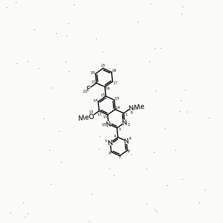 CNc1nc(-c2ncccn2)nc2c(OC)cc(-c3ccccc3F)cc12